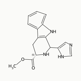 COC(=O)[C@@H]1Cc2c([nH]c3ccccc23)C(c2cnc[nH]2)N1